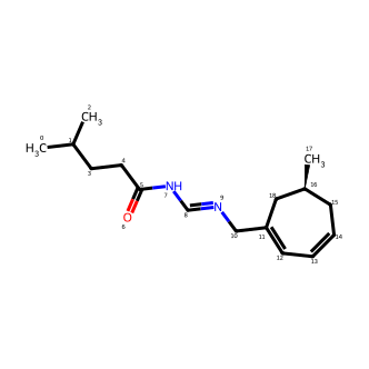 CC(C)CCC(=O)N/C=N/CC1=CC=CC[C@H](C)C1